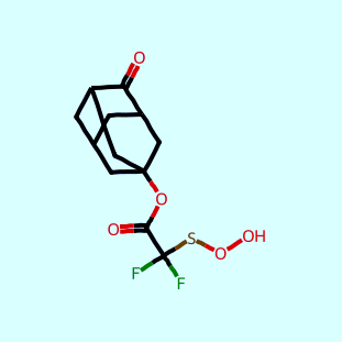 O=C1C2CC3CC1CC(OC(=O)C(F)(F)SOO)(C3)C2